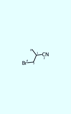 CC(C#N)CBr